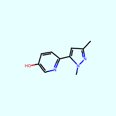 Cc1cc(-c2ccc(O)cn2)n(C)n1